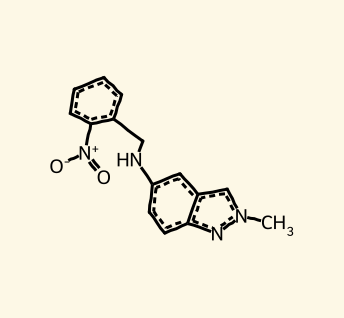 Cn1cc2cc(NCc3ccccc3[N+](=O)[O-])ccc2n1